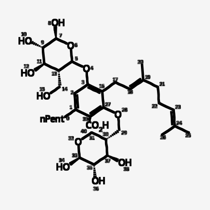 CCCCCc1cc(OC2O[C@H](O)[C@@H](O)[C@H](O)[C@H]2CO)c(C/C=C(\C)CCC=C(C)C)c(OC[C@H]2CO[C@H](O)[C@@H](O)[C@@H]2O)c1C(=O)O